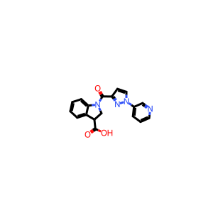 O=C(O)C1CN(C(=O)c2ccn(-c3cccnc3)n2)c2ccccc21